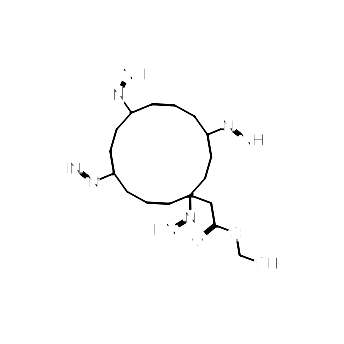 CCOC(=O)CC1(N=N)CCCC(N=N)CCC(N=N)CCCC(N=N)CC1